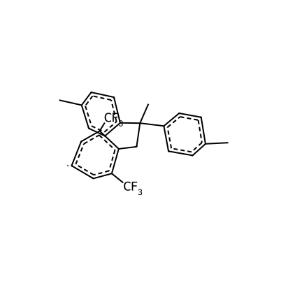 Cc1ccc(C(C)(Cc2c(C(F)(F)F)c[c]cc2C(F)(F)F)c2ccc(C)cc2)cc1